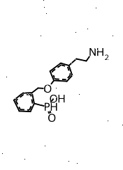 NCCc1ccc(OCc2ccccc2[PH](=O)O)cc1